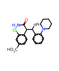 CCCC(c1ccccc1N1CCCCC1)C(C(N)=O)c1ccc(C(=O)O)cc1Cl